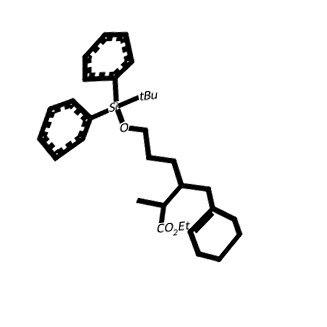 CCOC(=O)C(C)C(CCCO[Si](c1ccccc1)(c1ccccc1)C(C)(C)C)CC1=CCCCC1